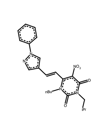 CCCCn1c(/C=C/c2cnn(-c3ccccc3)c2)c([N+](=O)[O-])c(=O)n(CC(C)C)c1=O